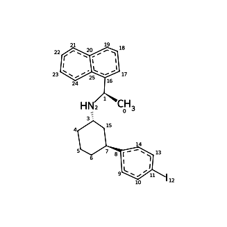 C[C@@H](N[C@H]1CCC[C@H](c2ccc(I)cc2)C1)c1cccc2ccccc12